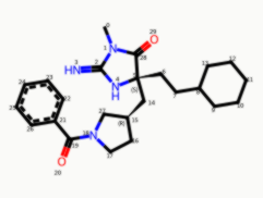 CN1C(=N)N[C@@](CCC2CCCCC2)(C[C@H]2CCN(C(=O)c3ccccc3)C2)C1=O